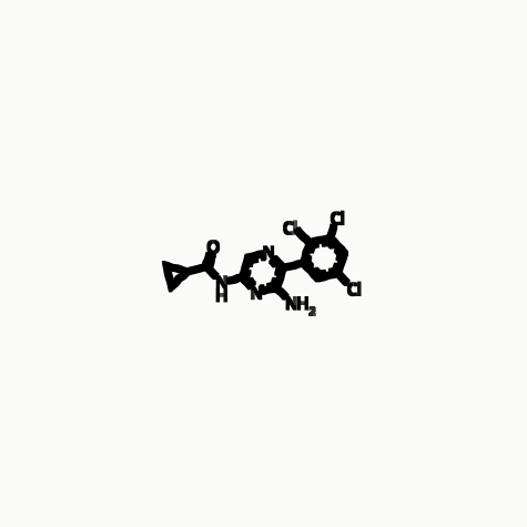 Nc1nc(NC(=O)C2CC2)cnc1-c1cc(Cl)cc(Cl)c1Cl